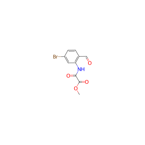 COC(=O)C(=O)Nc1cc(Br)ccc1C=O